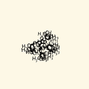 CC1(C)CC(OC(=O)C(CC(=O)OC2CC(C)(C)N(O)C(C)(C)C2)C(CC(=O)OC2CC(C)(C)N(O)C(C)(C)C2)C(=O)OC2CC(C)(C)N(O)C(C)(C)C2)CC(C)(C)N1